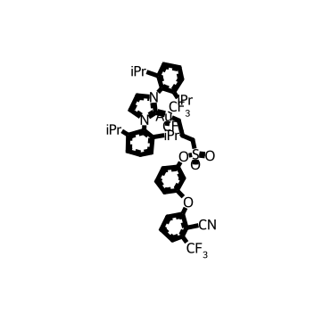 CC(C)c1cccc(C(C)C)c1-n1ccn(-c2c(C(C)C)cccc2C(C)C)[c]1=[Au]([CH2]CCS(=O)(=O)Oc1cccc(Oc2cccc(C(F)(F)F)c2C#N)c1)([C](F)(F)F)[C](F)(F)F